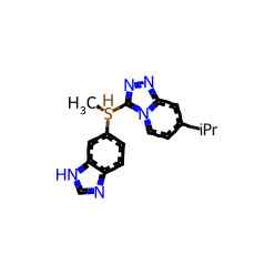 CC(C)c1ccn2c([SH](C)c3ccc4nc[nH]c4c3)nnc2c1